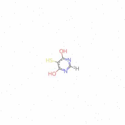 [2H]c1nc(O)c(S)c(O)n1